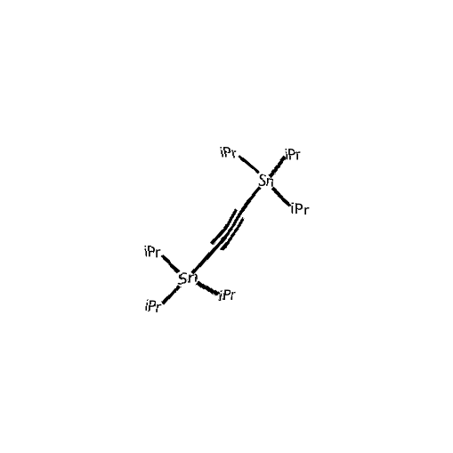 C[CH](C)[Sn]([C]#[C][Sn]([CH](C)C)([CH](C)C)[CH](C)C)([CH](C)C)[CH](C)C